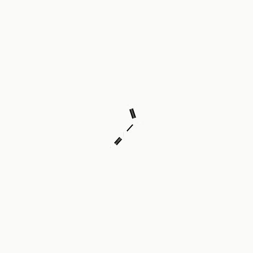 O=[SiH][Ti]=[O]